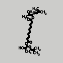 C=C(C)COC(OC(=O)CCCCCCCCC(=O)OC(OCC(=C)C)C(C)O)C(C)O